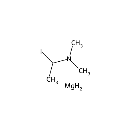 CC(I)N(C)C.[MgH2]